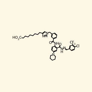 O=C(O)CCCCCCCCc1cn(Cc2cccc(C(=O)Nc3ccc(N4CCCCC4)cc3C(=O)NN=Cc3ccc(Cl)c(C(F)(F)F)c3)c2)nn1